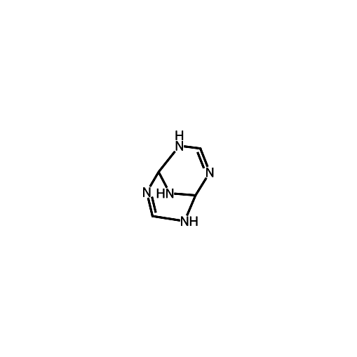 C1=NC2NC=NC(N1)N2